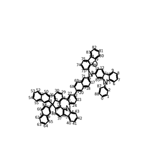 c1ccc(-n2c3ccccc3c3ccc(N(c4ccc5cc(-c6ccc7c(c6)-c6cccc8c6-c6c(ccc9c%10ccccc%10n-7c69)C8(c6ccc7ccccc7c6)c6ccc7ccccc7c6)ccc5c4)c4cccc5c4oc4ccccc45)cc32)cc1